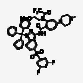 COCCN(C(=O)C(F)(F)F)c1cc(N2CCN(C)CC2)ccc1C(=O)Nc1nn(C(c2ccccc2)(c2ccccc2)c2ccccc2)c2ccc(S(=O)(=O)c3cc(F)cc(F)c3)cc12